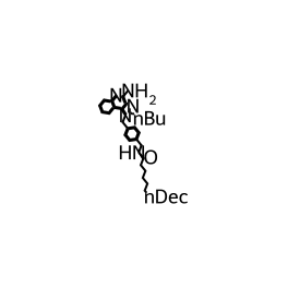 CCCCCCCCCCCCCCCC(=O)NCc1ccc(Cn2c(CCCC)nc3c(N)nc4ccccc4c32)cc1